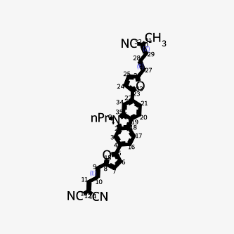 CCCn1c2cc(-c3ccc(/C=C/C=C(C#N)C#N)o3)ccc2c2ccc(-c3ccc(/C=C/C=C(/C)C#N)o3)cc21